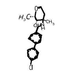 C[C@@H]1OCC[C@](C)(NCc2ccc(-c3ccc(Cl)cc3)cc2)[C@@H]1O